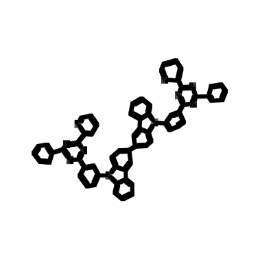 c1ccc(-c2nc(-c3cccc(-n4c5ccccc5c5cc(-c6ccc7c(c6)c6ccccc6n7-c6cccc(-c7nc(-c8ccccc8)nc(-c8ccccn8)n7)c6)ccc54)c3)nc(-c3ccccn3)n2)cc1